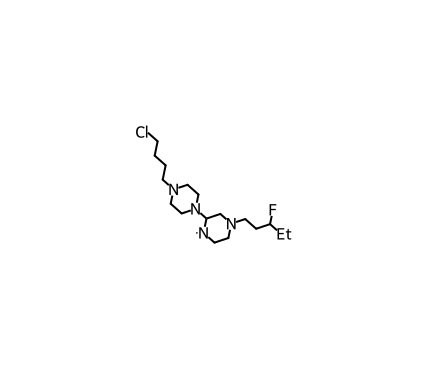 CCC(F)CCN1CC[N]C(N2CCN(CCCCCl)CC2)C1